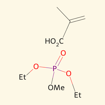 C=C(C)C(=O)O.CCOP(=O)(OC)OCC